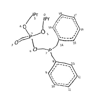 CC(C)OP(=O)(OC(C)C)OP(c1ccccc1)c1ccccc1